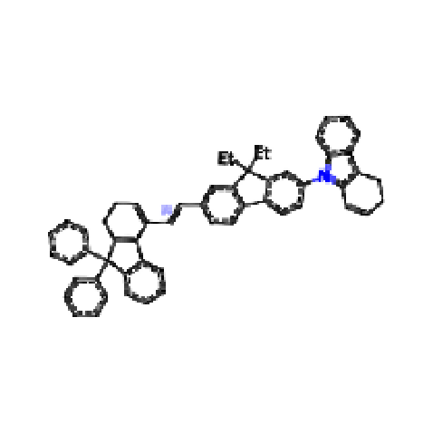 CCC1(CC)c2cc(/C=C/C3=CCCC4=C3c3ccccc3C4(c3ccccc3)c3ccccc3)ccc2-c2ccc(-n3c4c(c5ccccc53)CCC=C4)cc21